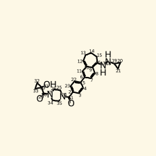 O=C(c1ccc(-c2ccc3c(c2)=CCCCC=3NNC2CC2)cc1)N1CCN(C(=O)C2(O)CC2)CC1